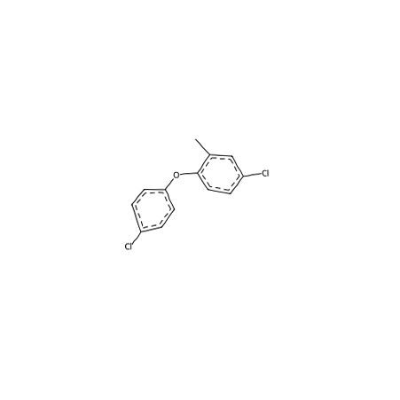 Cc1cc(Cl)ccc1Oc1ccc(Cl)cc1